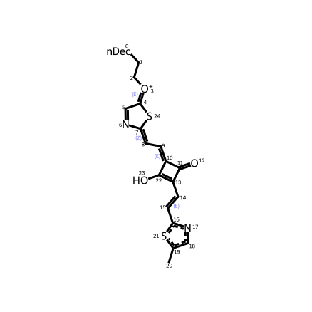 CCCCCCCCCCCC/[O+]=C1C=N/C(=C/C=C2/C(=O)C(/C=C/c3ncc(C)s3)=C2O)S\1